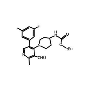 Cc1cc(F)cc(-c2cnc(C)c(C=O)c2N2CCC(NC(=O)OC(C)(C)C)CC2)c1